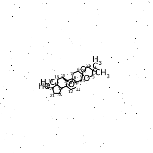 CC1(C)COC2(CC[C@]34O[C@]3(CCC3C4=CC[C@@]4(C)C3CC[C@@H]4O)C2)OC1